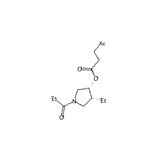 CCC(=O)N1C[C@@H](CC)[C@@H](OC(=O)CCC(C)=O)C1